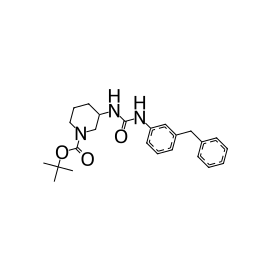 CC(C)(C)OC(=O)N1CCCC(NC(=O)Nc2cccc(Cc3ccccc3)c2)C1